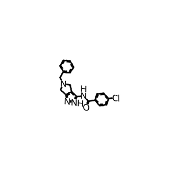 O=C(Nc1[nH]nc2c1CN(Cc1ccccc1)C2)c1ccc(Cl)cc1